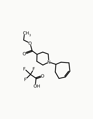 CCOC(=O)C1CCN(C2CCC=CCC2)CC1.O=C(O)C(F)(F)F